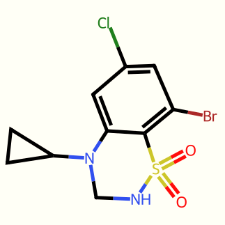 O=S1(=O)NCN(C2CC2)c2cc(Cl)cc(Br)c21